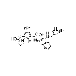 CCCc1cc(C(=O)N[C@@H](Cc2ccccc2)[C@H](O)CNCc2cnn(CC)c2)c(F)c(N2CCCS2(O)O)c1